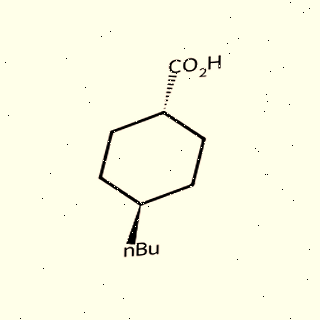 CCCC[C@H]1CC[C@H](C(=O)O)CC1